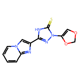 S=c1[nH]c(-c2cn3ccccc3n2)nn1C1=COCO1